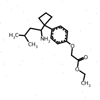 CCOC(=O)COc1ccc(C2(C(N)CC(C)C)CCC2)cc1